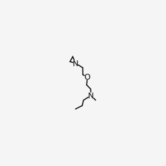 CCCN(C)CCOCCN1CC1